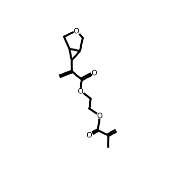 C=C(C)C(=O)OCCOC(=O)C(=C)C1C2COCC21